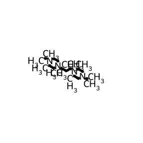 CC(C)N1C[C@H](C)N(C(C)CC(C)(C)N2CCN(C(C)C)[C@H](C)[C@@H]2C)[C@@H](C)C1